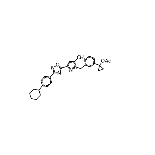 CC(=O)OC1(c2cccc(Cn3nc(-c4nc(-c5ccc(C6CCCCC6)cc5)no4)cc3C)c2)CC1